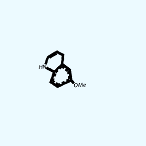 COc1c[c]c2c(c1)CC=CN2